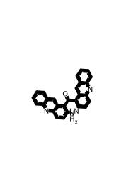 Nc1ccc2nc3ccccc3cc2c1C(=O)c1c(N)ccc2nc3ccccc3cc12